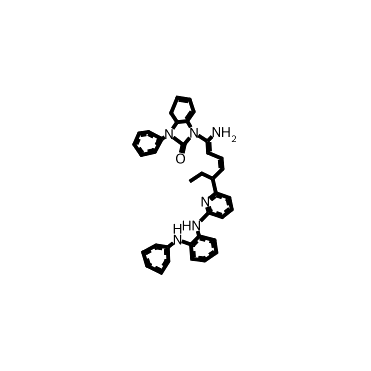 CCC(/C=C\C=C(/N)N1C(=O)N(c2ccccc2)C2CC=CC=C21)c1cccc(Nc2ccccc2Nc2ccccc2)n1